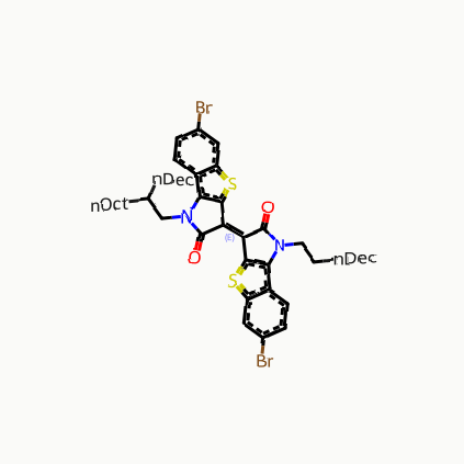 CCCCCCCCCCCCN1C(=O)/C(=C2/C(=O)N(CC(CCCCCCCC)CCCCCCCCCC)c3c2sc2cc(Br)ccc32)c2sc3cc(Br)ccc3c21